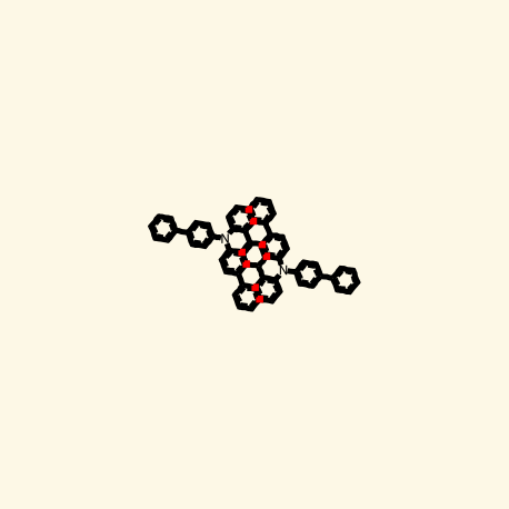 C1=CC(c2ccccc2N(c2ccc(-c3ccccc3)cc2)c2ccc(-c3ccccc3)cc2)CC=C1c1ccccc1N(c1ccc(-c2ccccc2)cc1)c1ccc(-c2ccccc2)cc1